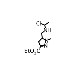 CCOC(=O)C1=NN(C)C(CNC(C)Cl)C1